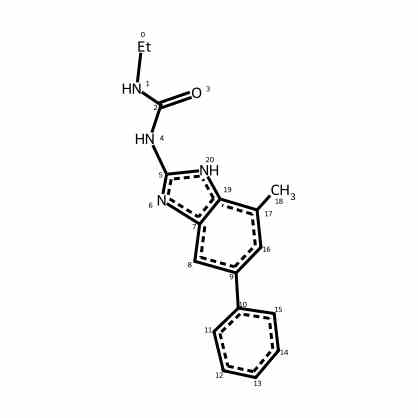 CCNC(=O)Nc1nc2cc(-c3ccccc3)cc(C)c2[nH]1